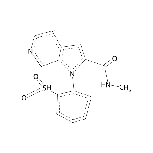 CNC(=O)c1cc2[c]cncc2n1-c1ccccc1[SH](=O)=O